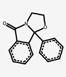 O=C1c2ccccc2C2(c3ccccc3)OCCN12